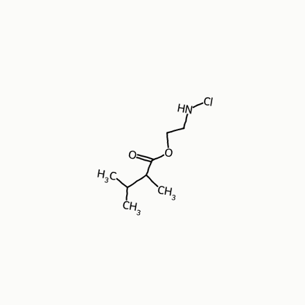 CC(C)C(C)C(=O)OCCNCl